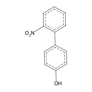 O=[N+]([O-])c1ccccc1-c1ccc(O)cc1